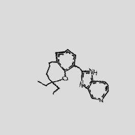 CCC1(CC)CCc2cccc(-c3nc4cnccc4[nH]3)c2O1